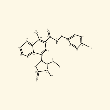 CNC1C(c2nc(C(=O)NCc3ccc(F)cc3)c(O)c3ncccc23)CC(=O)N1C